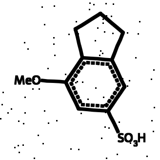 COc1cc(S(=O)(=O)O)cc2c1CCC2